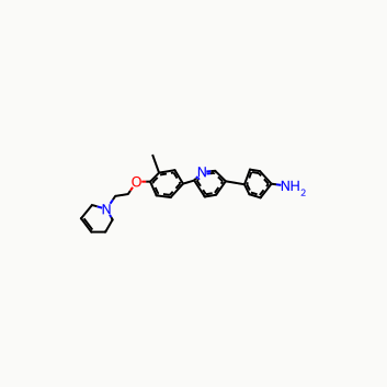 Cc1cc(-c2ccc(-c3ccc(N)cc3)cn2)ccc1OCCN1CC=CCC1